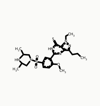 CCCc1nn(CC)c2c(=S)[nH]c(-c3cc(S(=O)(=O)N4CC(C)NC(C)C4)ccc3OC)nc12